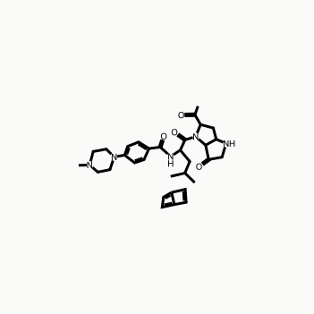 CC(=O)C1CC2NCC(=O)C2N1C(=O)C(CC(C)C)NC(=O)c1ccc(N2CCN(C)CC2)cc1.c1cc2ccc1-2